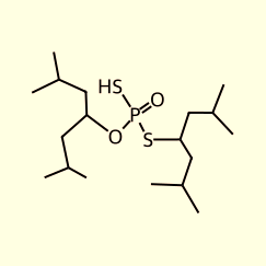 CC(C)CC(CC(C)C)OP(=O)(S)SC(CC(C)C)CC(C)C